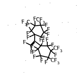 FC(F)=C(C1(F)C(F)(F)C(F)(F)C(F)(C(F)(F)F)C(F)(C(F)(F)F)C1(F)F)C1(F)C(F)(F)C(F)(F)C(F)(C(F)(F)F)C(F)(C(F)(F)F)C1(F)F